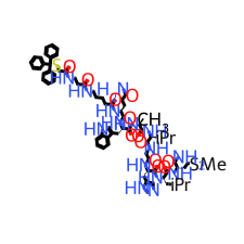 CSCC[C@H](NC(=O)[C@H](CC(C)C)NC(=O)[C@H](Cc1cnc[nH]1)NC(=O)CNC(=O)[C@@H](NC(=O)[C@H](C)NC(=O)[C@H](Cc1c[nH]c2ccccc12)NC(=O)[C@H](CCC(N)=O)NC(=O)CCCCNC(=O)CCNC(=O)CSC(c1ccccc1)(c1ccccc1)c1ccccc1)C(C)C)C(N)=O